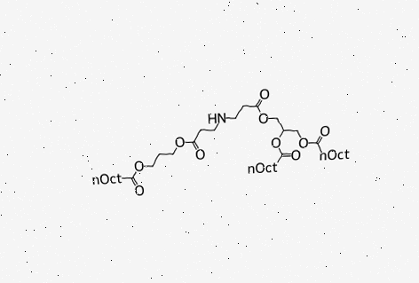 CCCCCCCCC(=O)OCCCOC(=O)CCNCCC(=O)OCC(COC(=O)CCCCCCCC)OC(=O)CCCCCCCC